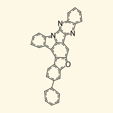 c1ccc(-c2ccc3c(c2)oc2cc4c5nc6ccccc6nc5n5c6ccccc6c(c23)c45)cc1